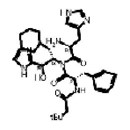 CC(C)(C)CC(=O)N[C@@H](Cc1ccccc1)C(=O)N(C(=O)[C@@H](N)Cc1c[nH]cn1)[C@@H](CC1CCCCC1)[C@@H](O)c1ncc[nH]1